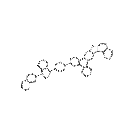 c1ccc2cc(-c3ccc(-c4ccc(-c5ccc6c(c5)c5ccccc5c5cc7c(cc65)sc5ccc6ccccc6c57)cc4)c4ccccc34)ccc2c1